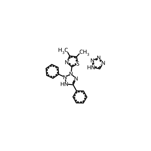 Cc1nc(N2N=C(c3ccccc3)NN2c2ccccc2)sc1C.c1nnn[nH]1